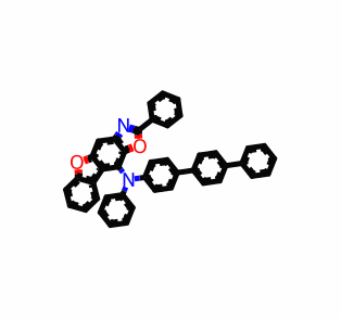 c1ccc(-c2ccc(-c3ccc(N(c4ccccc4)c4c5oc(-c6ccccc6)nc5cc5oc6ccccc6c45)cc3)cc2)cc1